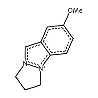 COc1ccc2c(c1)cn1[n+]2CCC1